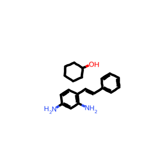 Nc1ccc(C=Cc2ccccc2)c(N)c1.OC1CCCCC1